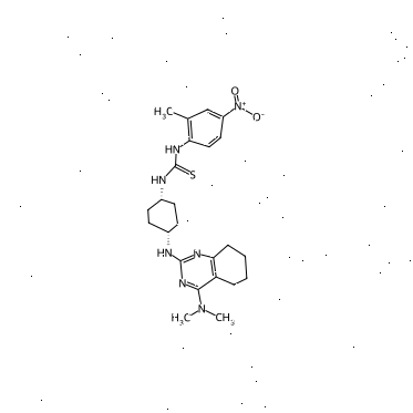 Cc1cc([N+](=O)[O-])ccc1NC(=S)N[C@H]1CC[C@@H](Nc2nc3c(c(N(C)C)n2)CCCC3)CC1